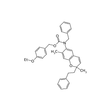 CCOc1ccc(COC(=O)N(Cc2ccccc2)c2cc3c(cc2C)OC(C)(CCc2ccccc2)C=C3)cc1